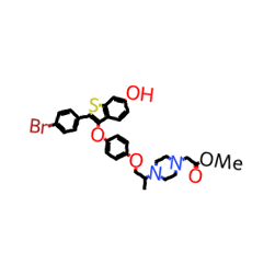 COC(=O)CN1CCN(C(C)COc2ccc(Oc3c(-c4ccc(Br)cc4)sc4cc(O)ccc34)cc2)CC1